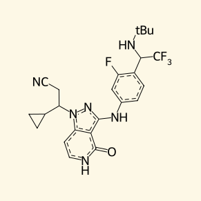 CC(C)(C)NC(c1ccc(Nc2nn(C(CC#N)C3CC3)c3cc[nH]c(=O)c23)cc1F)C(F)(F)F